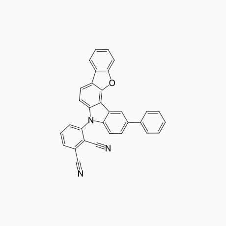 N#Cc1cccc(-n2c3ccc(-c4ccccc4)cc3c3c4oc5ccccc5c4ccc32)c1C#N